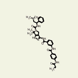 C=CC(=O)Nc1ccc(C(=O)Nc2cccc(C(=O)Nc3n[nH]c4c3CN(C(=O)NC(CN(C)C)c3ccccc3)C4(C)C)c2)cc1